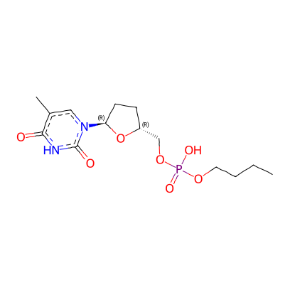 CCCCOP(=O)(O)OC[C@H]1CC[C@H](n2cc(C)c(=O)[nH]c2=O)O1